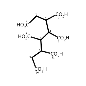 O=C(O)CC(C(=O)O)C(C(=O)O)C(C(=O)O)C(CC(=O)O)C(=O)O